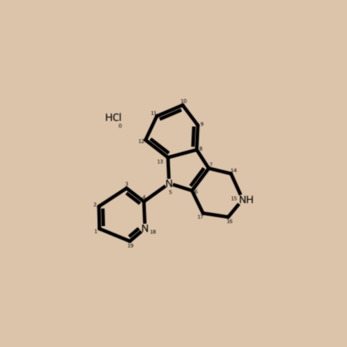 Cl.c1ccc(-n2c3c(c4ccccc42)CNCC3)nc1